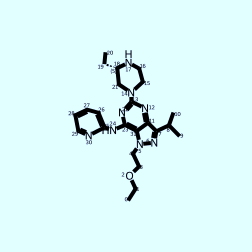 CCOCCn1nc(C(C)C)c2nc(N3CCN[C@@H](CC)C3)nc(Nc3ccccn3)c21